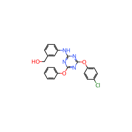 OCc1cccc(Nc2nc(Oc3ccccc3)nc(Oc3ccc(Cl)cc3)n2)c1